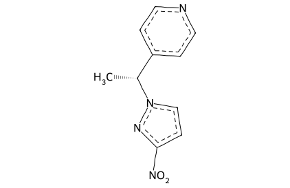 C[C@H](c1ccncc1)n1ccc([N+](=O)[O-])n1